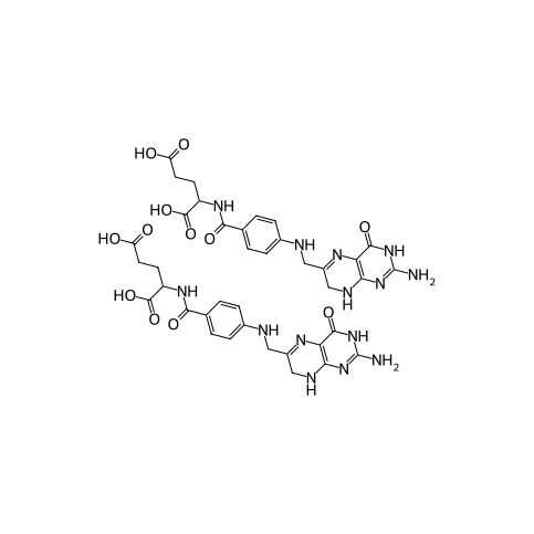 Nc1nc2c(c(=O)[nH]1)N=C(CNc1ccc(C(=O)NC(CCC(=O)O)C(=O)O)cc1)CN2.Nc1nc2c(c(=O)[nH]1)N=C(CNc1ccc(C(=O)NC(CCC(=O)O)C(=O)O)cc1)CN2